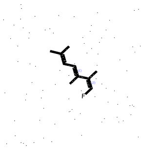 CC(C)=C/C=C(C)/C(C)=C\F